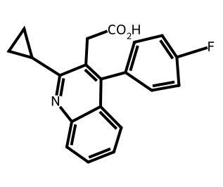 O=C(O)Cc1c(C2CC2)nc2ccccc2c1-c1ccc(F)cc1